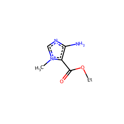 CCOC(=O)c1c(N)ncn1C